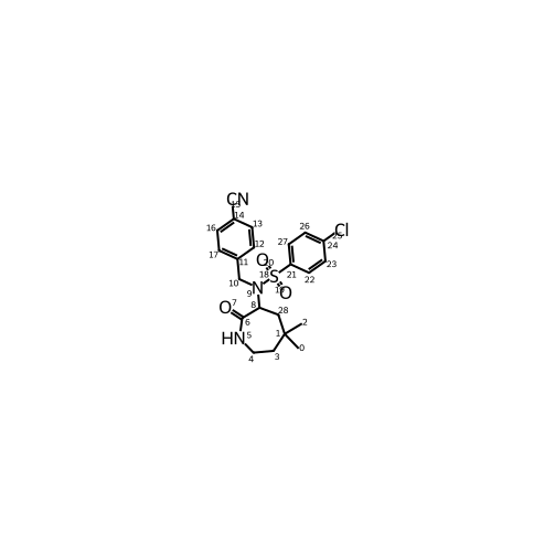 CC1(C)CCNC(=O)C(N(Cc2ccc(C#N)cc2)S(=O)(=O)c2ccc(Cl)cc2)C1